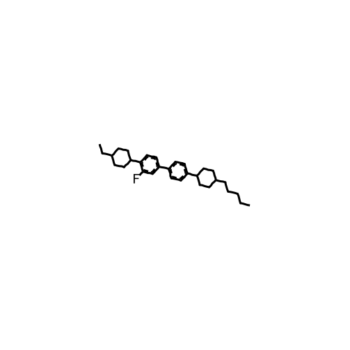 CCCCCC1CCC(c2ccc(-c3ccc(C4CCC(CC)CC4)c(F)c3)cc2)CC1